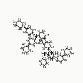 c1ccc(C2=NC(c3cccc(-c4ccccc4)c3)NC(c3ccc4c(c3)oc3c(-n5c6ccc(-c7ccccc7)cc6c6cc(-c7ccccc7)ccc65)cccc34)N2)cc1